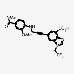 CNC(=O)c1ccc(NCC#Cc2cc(C(=O)O)c3ncn(CC(F)(F)F)c3c2)c(OC)c1